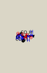 CCOC(=O)N1CCN(C(=O)C(CCC(=O)O)NC(=O)c2cc(OC(C)(CI)C(=O)NCC(=O)NC3CC3)n(-c3ccccc3)n2)CC1